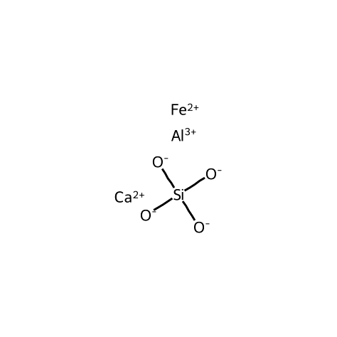 [Al+3].[Ca+2].[Fe+2].[O-][Si]([O-])([O-])[O-]